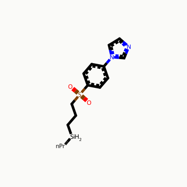 CCC[SiH2]CCCS(=O)(=O)c1ccc(-n2ccnc2)cc1